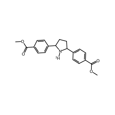 [2H]N1C(c2ccc(C(=O)OC)cc2)CCC1c1ccc(C(=O)OC)cc1